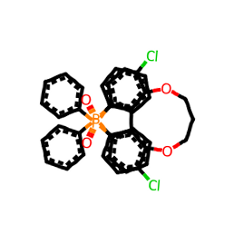 O=P(c1ccccc1)(c1ccccc1)c1ccc(Cl)c2c1-c1c(P(=O)(c3ccccc3)c3ccccc3)ccc(Cl)c1OCCCO2